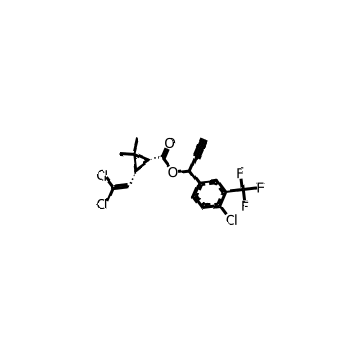 C#CC(OC(=O)[C@@H]1[C@H](C=C(Cl)Cl)C1(C)C)c1ccc(Cl)c(C(F)(F)F)c1